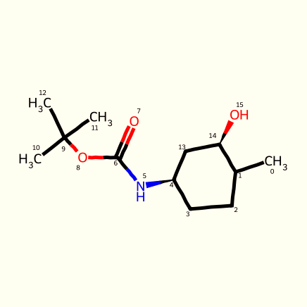 CC1CC[C@@H](NC(=O)OC(C)(C)C)C[C@H]1O